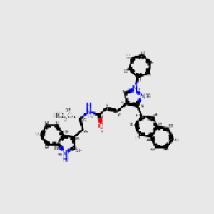 O=C(C=Cc1cn(-c2ccccc2)nc1-c1ccc2ccccc2c1)N[C@H](Cc1c[nH]c2ccccc12)C(=O)O